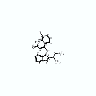 CC(CC(F)(F)F)c1nc2nccnc2n1Cc1cc(=O)[nH]c2c(F)cccc12